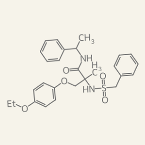 CCOc1ccc(OCC(C)(NS(=O)(=O)Cc2ccccc2)C(=O)NC(C)c2ccccc2)cc1